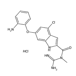 CN(C(=N)N)C(=O)c1cc2c(Cl)cc(Oc3ccccc3N)cc2[nH]1.Cl